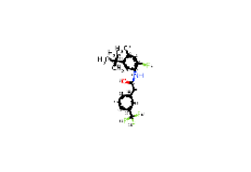 Cc1cc(F)c(NC(=O)Cc2cccc(C(F)(F)F)c2)cc1C(C)(C)C